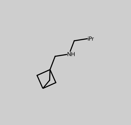 CC(C)CNCC12CC(C1)C2